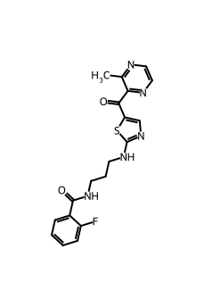 Cc1nccnc1C(=O)c1cnc(NCCCNC(=O)c2ccccc2F)s1